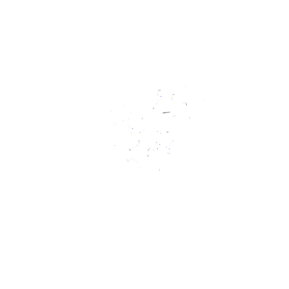 CC1C2CCC(COc3ccc(C(F)(F)F)c(F)n3)(C2)N1C(=O)c1cccc(F)c1-n1nccn1